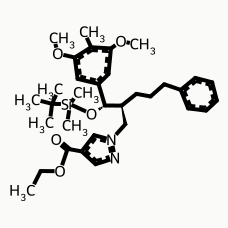 CCOC(=O)c1cnn(C[C@H](CCCc2ccccc2)[C@H](O[Si](C)(C)C(C)(C)C)c2cc(OC)c(C)c(OC)c2)c1